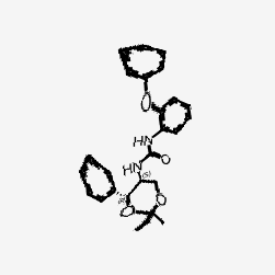 CC1(C)OC[C@H](NC(=O)Nc2ccccc2Oc2ccccc2)[C@@H](c2ccccc2)O1